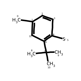 Cc1ccc([S])c(C(C)(C)C)c1